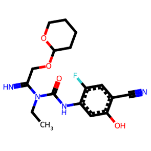 CCN(C(=N)COC1CCCCO1)C(=O)Nc1cc(O)c(C#N)cc1F